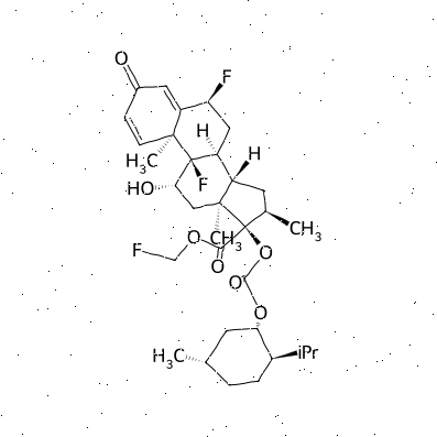 CC(C)[C@H]1CC[C@H](C)C[C@@H]1OC(=O)O[C@]1(C(=O)OCF)[C@H](C)C[C@H]2[C@@H]3C[C@H](F)C4=CC(=O)C=C[C@]4(C)[C@@]3(F)[C@@H](O)C[C@@]21C